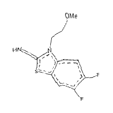 COCCn1c(=N)sc2cc(F)c(F)cc21